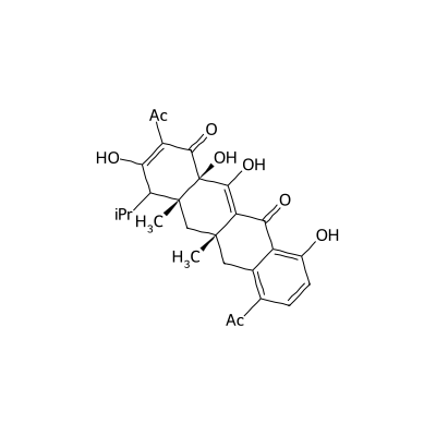 CC(=O)C1=C(O)C(C(C)C)[C@@]2(C)C[C@@]3(C)Cc4c(C(C)=O)ccc(O)c4C(=O)C3=C(O)[C@@]2(O)C1=O